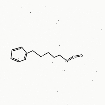 S=C=NCCCCCc1ccccc1